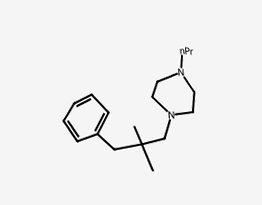 CCCN1CCN(CC(C)(C)Cc2ccccc2)CC1